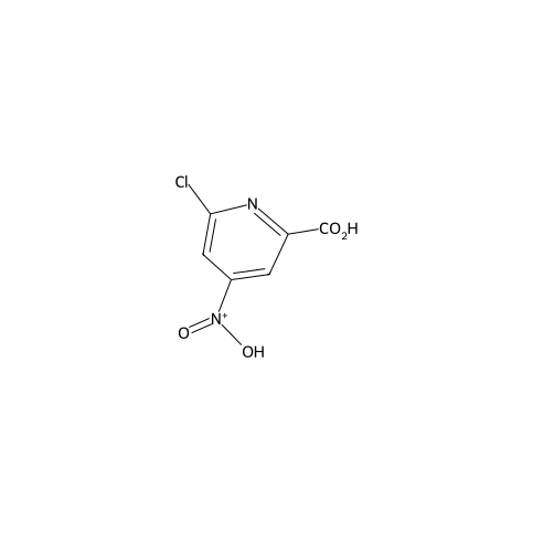 O=C(O)c1cc([N+](=O)O)cc(Cl)n1